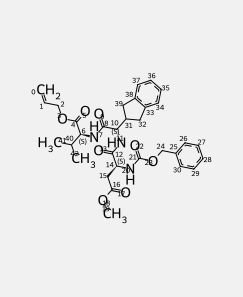 C=CCOC(=O)[C@@H](NC(=O)[C@@H](NC(=O)[C@H](CC(=O)OC)NC(=O)OCc1ccccc1)C1Cc2ccccc2C1)C(C)C